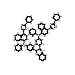 c1ccc(-c2nnc(-c3ccc(N(c4ccccc4)c4ccc(-c5nc6ccccc6nc5-c5ccc(N(c6ccccc6)c6ccc(-c7nnc(-c8ccccc8)o7)c7ccccc67)cc5)cc4)c4ccccc34)o2)cc1